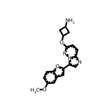 COc1ccc2oc(-c3cnc4ccc(OC5CC(N)C5)nn34)cc2c1